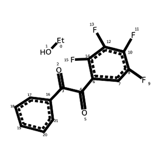 CCO.O=C(C(=O)c1cc(F)c(F)c(F)c1F)c1ccccc1